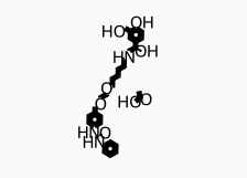 CC(=O)O.O=C(Nc1ccccc1)Nc1ccc(COCCOCCCCCCNC[C@H](O)c2ccc(O)c(CO)c2)cc1